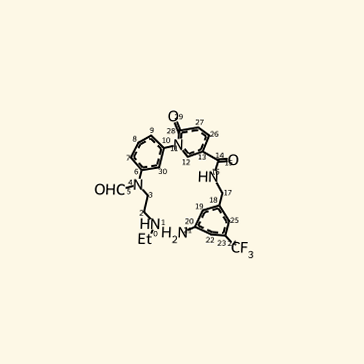 CCNCCN(C=O)c1cccc(-n2cc(C(=O)NCc3cc(N)cc(C(F)(F)F)c3)ccc2=O)c1